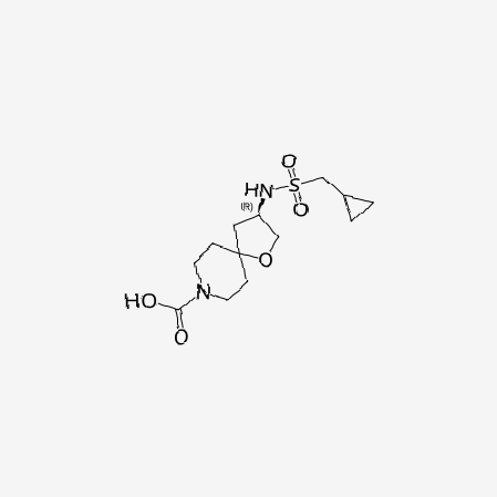 O=C(O)N1CCC2(CC1)C[C@@H](NS(=O)(=O)CC1CC1)CO2